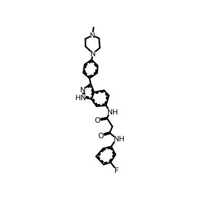 CN1CCN(c2ccc(-c3n[nH]c4cc(NC(=O)CC(=O)Nc5cccc(F)c5)ccc34)cc2)CC1